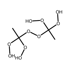 CC(OO)(OO)OOC(C)(OO)OO